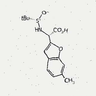 Cc1ccc2cc([C@H](N[S@@+]([O-])C(C)(C)C)C(=O)O)oc2c1